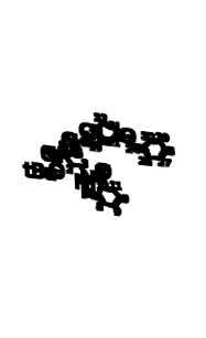 CC(=O)C(CCn1nnc2ccccc2c1=O)(CC(=O)c1cc2cc(OCc3ccccc3)ccc2o1)C(=O)OC(C)(C)C